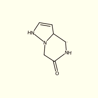 O=C1CN2NC=CC2[CH]N1